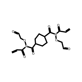 C=CC(=O)N(OCC=O)C(=O)C1CCC(C(=O)N(OCC=O)C(=O)C=C)CC1